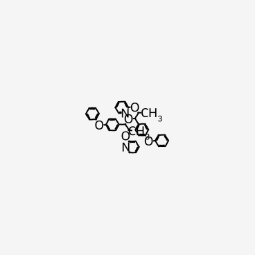 CC(Oc1ccccn1)C(OC(c1ccc(Oc2ccccc2)cc1)C(C)Oc1ccccn1)c1ccc(Oc2ccccc2)cc1